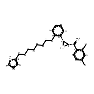 Cc1ccc(C(=O)[C@@H]2O[C@H]2c2ccccc2CCCCCCCCc2ccco2)c(C)c1